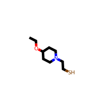 CCOC1CCN(CCS)CC1